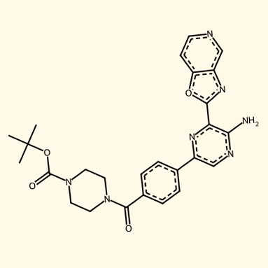 CC(C)(C)OC(=O)N1CCN(C(=O)c2ccc(-c3cnc(N)c(-c4nc5cnccc5o4)n3)cc2)CC1